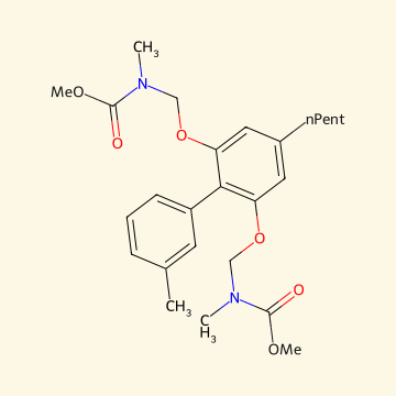 CCCCCc1cc(OCN(C)C(=O)OC)c(-c2cccc(C)c2)c(OCN(C)C(=O)OC)c1